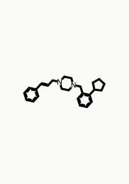 C(=Cc1ccccc1)CN1CCN(Cc2ccccc2C2CCCC2)CC1